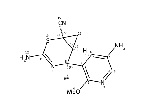 COc1ncc(N)cc1[C@@]1(C)N=C(N)S[C@@]2(C#N)C[C@H]21